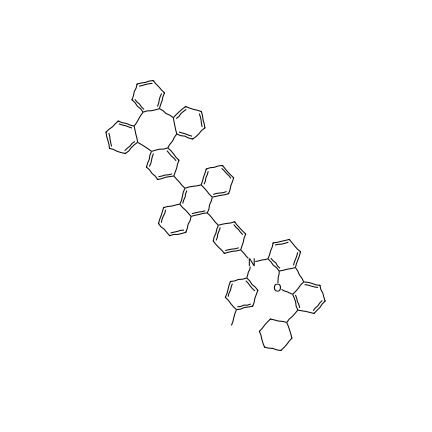 Cc1ccc(N(c2ccc(-c3c4ccccc4c(-c4ccc5c(c4)-c4ccccc4-c4ccccc4-c4ccccc4-5)c4ccccc34)cc2)c2cccc3c2oc2c(C4CCCCC4)cccc23)cc1